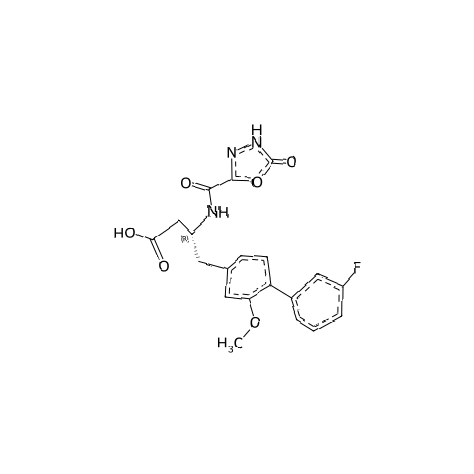 COc1cc(C[C@H](CC(=O)O)NC(=O)c2n[nH]c(=O)o2)ccc1-c1cccc(F)c1